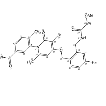 CNC(=O)c1ccc(C)c(-n2c(C)cc(OCc3ccc(F)cc3CNC(=O)NOC)c(Br)c2=O)c1